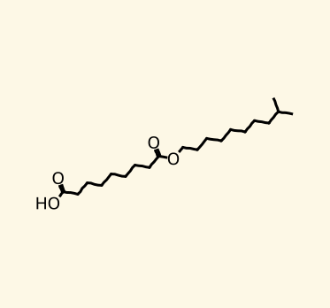 CC(C)CCCCCCCCOC(=O)CCCCCCCC(=O)O